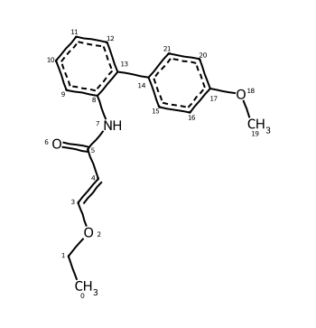 CCO/C=C/C(=O)Nc1ccccc1-c1ccc(OC)cc1